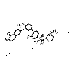 CN1CCCC(NS(=O)(=O)c2ccc(-c3cnc(N)c(-c4ccc5c(c4)CCNC5=O)c3)c(F)c2)C1